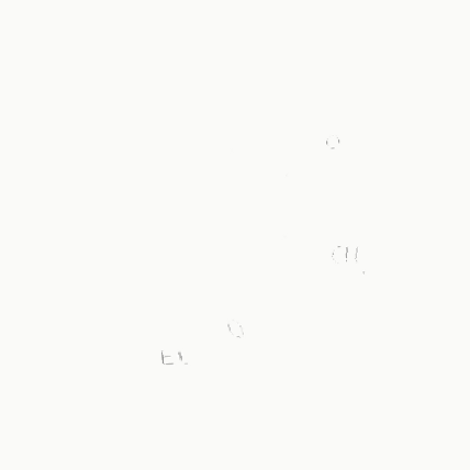 C=C(COCC)C(=O)c1ccccc1